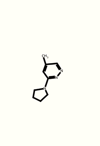 Cc1cnnc(N2C[CH]CC2)c1